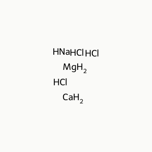 Cl.Cl.Cl.[CaH2].[MgH2].[NaH]